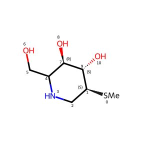 CS[C@H]1CNC(CO)[C@@H](O)[C@@H]1O